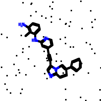 Cc1c(N)cccc1Nc1cc(C#Cc2cnc3ccc(-c4cc[c]cc4)cn23)ccn1